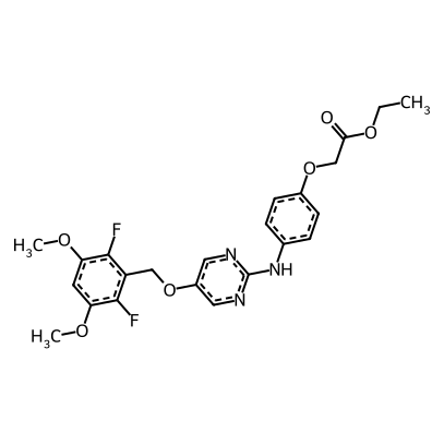 CCOC(=O)COc1ccc(Nc2ncc(OCc3c(F)c(OC)cc(OC)c3F)cn2)cc1